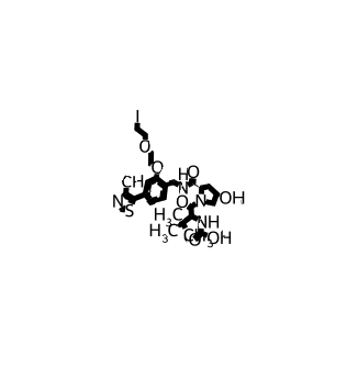 Cc1ncsc1-c1ccc(CNC(=O)[C@@H]2C[C@@H](O)CN2C(=O)C(NC(=O)O)C(C)(C)C)c(OCCOCCI)c1